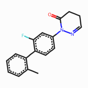 Cc1ccccc1-c1ccc(N2N=CCCC2=O)cc1F